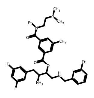 CCc1cccc(CNCC(OC(=O)c2cc(C)cc(C(=O)N(CC)CCN(C)C)c2)C(N)Cc2cc(F)cc(F)c2)c1